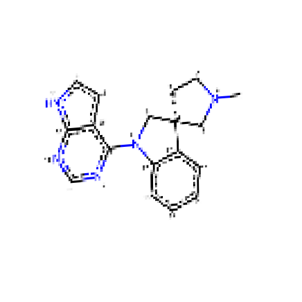 CN1CC[C@@]2(C1)CN(c1ncnc3[nH]ccc13)c1ccccc12